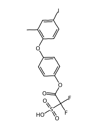 Cc1cc(I)ccc1Oc1ccc(OC(=O)C(F)(F)S(=O)(=O)O)cc1